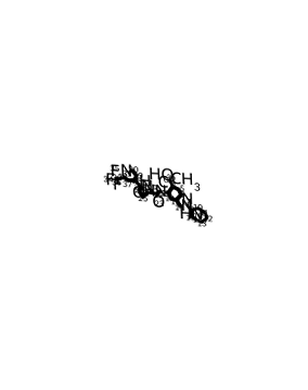 CC(C)(O)c1cc2nn(C3CC4CCC(C3)N4)cc2cc1NC(=O)c1coc(-c2ccnc(C(F)(F)F)c2)n1